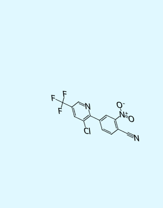 N#Cc1ccc(-c2ncc(C(F)(F)F)cc2Cl)cc1[N+](=O)[O-]